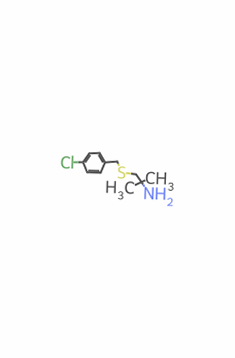 CC(C)(N)CSCc1ccc(Cl)cc1